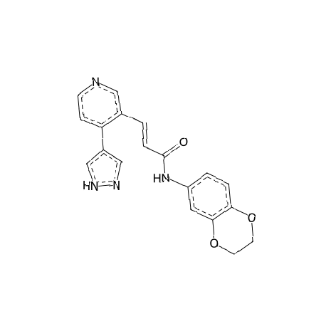 O=C(C=Cc1cnccc1-c1cn[nH]c1)Nc1ccc2c(c1)OCCO2